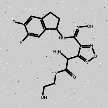 NC(C(=O)NCCO)c1nonc1/C(=N\O)NC1CCc2cc(F)c(F)cc21